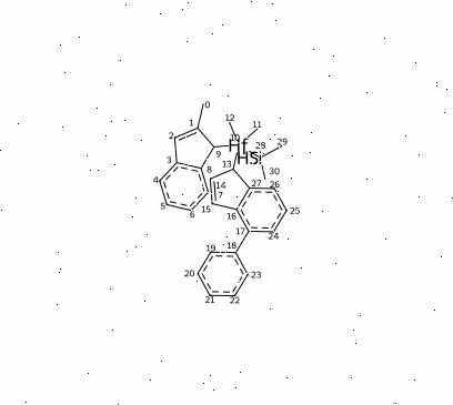 CC1=Cc2ccccc2[CH]1[Hf]([CH3])([CH3])([CH]1C=Cc2c(-c3ccccc3)cccc21)[SiH](C)C